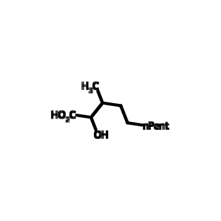 CCCCCCCC(C)C(O)C(=O)O